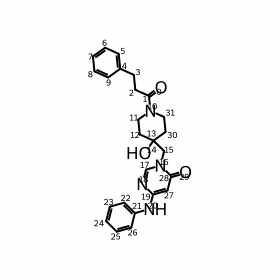 O=C(CCc1ccccc1)N1CCC(O)(Cn2cnc(Nc3ccccc3)cc2=O)CC1